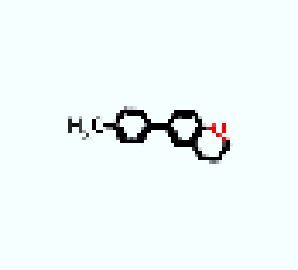 Cc1ccc(-c2ccc3c(c2)CCCO3)cc1